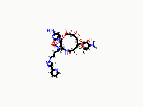 CC[C@H]1OC(=O)[C@H](C)C(=O)[C@H](C)[C@@H](O[C@@H]2O[C@H](C)CC(N(C)C)C2O)[C@](C)(OC)C[C@@H](C)C(=O)N[C@H](C)[C@H]2N(CCCCn3cc(-c4ccccn4)nn3)C(=O)O[C@]12n1ccc(N)nc1=O